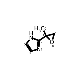 CC1(c2ncc[nH]2)CO1